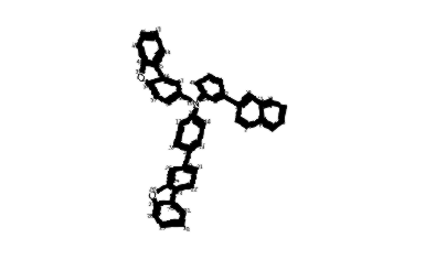 c1cc(-c2ccc3ccccc3c2)cc(N(c2ccc(-c3ccc4c(c3)oc3ccccc34)cc2)c2ccc3oc4ccccc4c3c2)c1